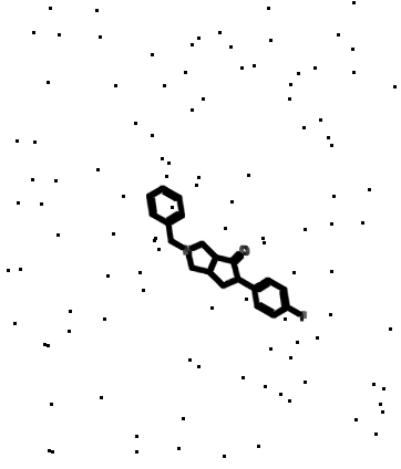 O=C1C(c2ccc(F)cc2)CC2CN(Cc3ccccc3)CC12